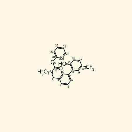 CN(Cc1cccc(-c2cc(C(F)(F)F)ccc2O)c1)C(=O)Oc1ccccn1